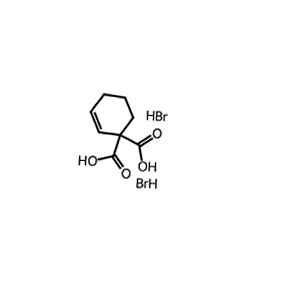 Br.Br.O=C(O)C1(C(=O)O)C=CCCC1